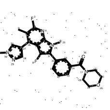 Cc1c(F)nc2c(c(F)c(-c3cccc(C(=O)N4CCOCC4)c3)n2F)c1-c1cnn(C)c1